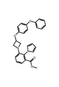 COC(=O)c1cccc(N2CC(Oc3ccc(Sc4ccccc4)cc3)C2)c1-n1cccc1